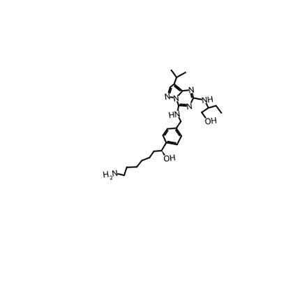 CCC(CO)Nc1nc(NCc2ccc([C@@H](O)CCCCCCN)cc2)n2ncc(C(C)C)c2n1